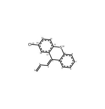 C=CC=C1c2ccccc2Sc2ccc(Cl)cc21